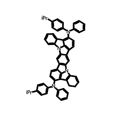 CC(C)c1ccc(N(c2ccccc2)c2ccc3c4cc5c(cc4n4c6c(c2c34)CCC=C6)c2ccc(N(c3ccccc3)c3ccc(C(C)C)cc3)c3c4ccccc4n5c23)cc1